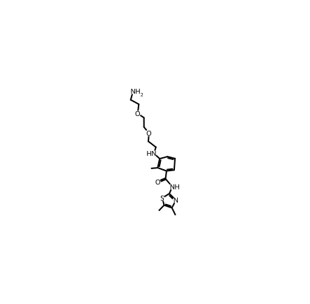 Cc1nc(NC(=O)c2cccc(NCCOCCOCCN)c2C)sc1C